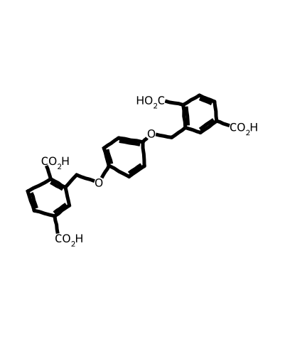 O=C(O)c1ccc(C(=O)O)c(COc2ccc(OCc3cc(C(=O)O)ccc3C(=O)O)cc2)c1